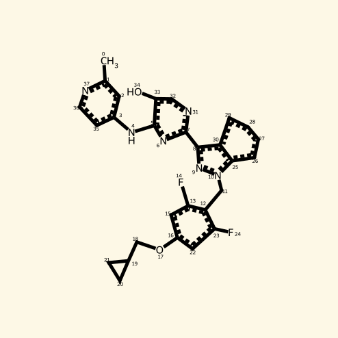 Cc1cc(Nc2nc(-c3nn(Cc4c(F)cc(OCC5CC5)cc4F)c4ccccc34)ncc2O)ccn1